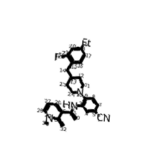 C=C(Nc1cc(C#N)ccc1N1CCC(Cc2ccc(CC)cc2F)CC1)C1=CC=CN(C)C1=C